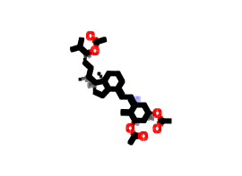 C=C1/C(=C\C=C2CCC[C@@]3(C)C2CC[C@@H]3[C@H](C)CC[C@@H](OC(C)=O)C(C)C)C[C@H](OC(C)=O)C[C@H]1OC(C)=O